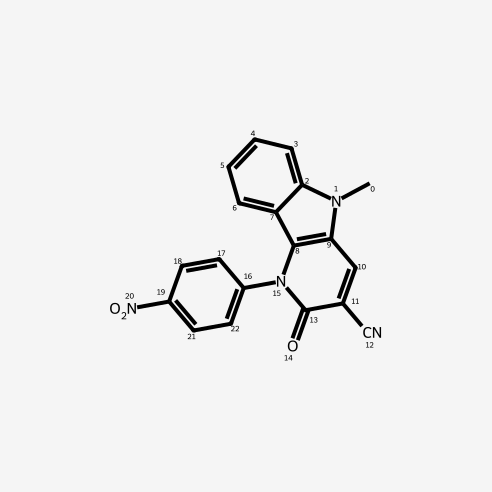 Cn1c2ccccc2c2c1cc(C#N)c(=O)n2-c1ccc([N+](=O)[O-])cc1